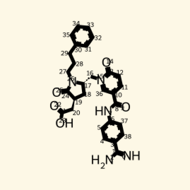 N=C(N)c1ccc(NC(=O)c2ccc(=O)n(C[C@@H]3C[C@@H](CC(=O)O)C(=O)N3CCCc3ccccc3)c2)cc1